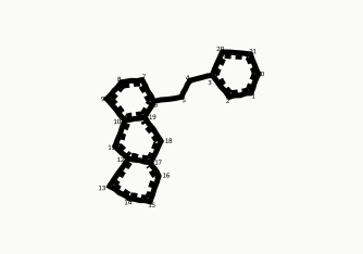 c1ccc(CCc2cccc3cc4ccccc4cc23)cc1